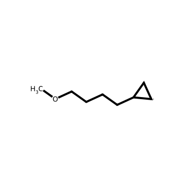 COCCCCC1[CH]C1